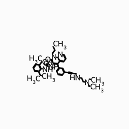 CCCCn1c(=O)c(NC(=O)Nc2c(C(C)C)cccc2C(C)C)c(-c2cccc(C#CCNCCN(CC)CC)c2)c2cccnc21